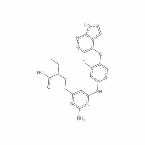 CCC(CCc1cc(Nc2ccc(Oc3ccnc4[nH]ccc34)c(F)c2)nc(N)n1)C(=O)O